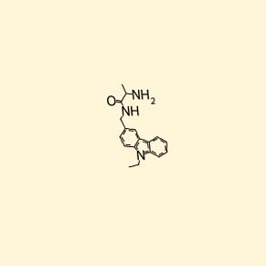 CCn1c2ccccc2c2cc(CNC(=O)C(C)N)ccc21